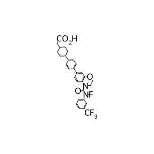 O=C(O)CC1CCC(c2ccc(-c3ccc4c(c3)OCCN4C(=O)N(F)c3cccc(C(F)(F)F)c3)cc2)CC1